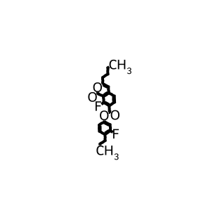 CCCCc1cc2ccc(C(=O)Oc3ccc(CCC)c(F)c3)c(F)c2c(=O)o1